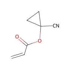 C=CC(=O)OC1(C#N)CC1